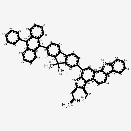 C=C/C=c1/sc2c(-c3ccc4c(c3)C(C)(C)c3cc(-c5c6ccccc6c(-c6ccccc6)c6ccccc56)ccc3-4)cc3c(ccc4c5ccccc5oc43)c2/c1=C/C